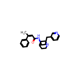 CC(=CC(=O)NC1C2CCN(CC2)C1Cc1cccnc1)c1ccccc1